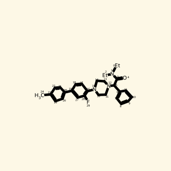 CCN(CC)C(=O)C(c1ccccc1)N1CCN(c2ccc(-c3ccc(C)cc3)cc2F)CC1